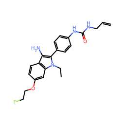 C=CCNC(=O)Nc1ccc(-c2c(N)c3ccc(OCCF)cc3n2CC)cc1